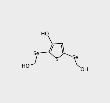 OC[Se]c1cc(O)c([Se]CO)s1